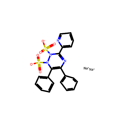 O=S(=O)([O-])N1C(c2ccccn2)=NC(c2ccccc2)=C(c2ccccc2)N1S(=O)(=O)[O-].[Na+].[Na+]